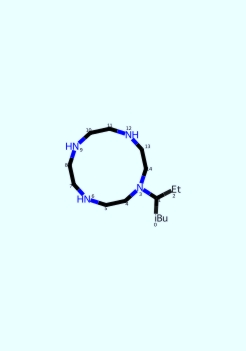 CCC(C)C(CC)N1CCNCCNCCNCC1